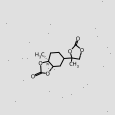 CC1(C2CC[C@]3(C)OC(=O)OC3C2)COC(=O)O1